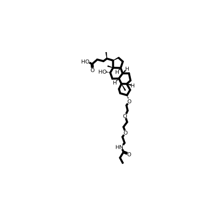 CCC(=O)NCCOCCOCCO[C@@H]1CC[C@@]2(C)[C@H](CC[C@@H]3[C@@H]2C[C@H](O)[C@]2(C)[C@@H]([C@H](C)CCC(=O)O)CC[C@@H]32)C1